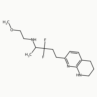 COCCNC(C)C(F)(F)CCc1ccc2c(n1)NCCC2